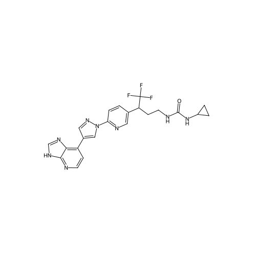 O=C(NCCC(c1ccc(-n2cc(-c3ccnc4[nH]cnc34)cn2)nc1)C(F)(F)F)NC1CC1